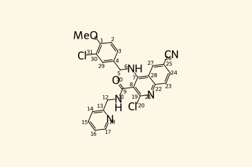 COc1ccc(CNc2c(C(=O)NCc3ccccn3)c(Cl)nc3ccc(C#N)cc23)cc1Cl